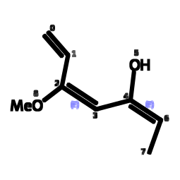 C=C/C(=C\C(O)=C/C)OC